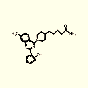 Cc1ccc2c(N3CCC(CCCCC(N)=O)CC3)nc(-c3ccccc3O)nc2c1